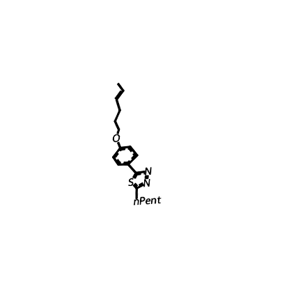 CC=CCCCOc1ccc(-c2nnc(CCCCC)s2)cc1